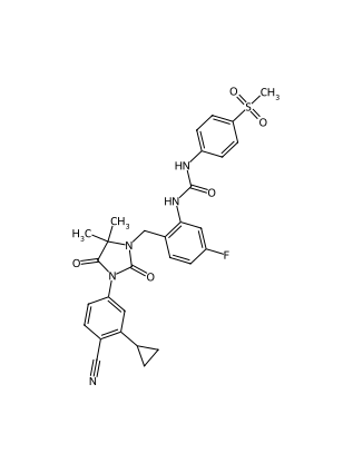 CC1(C)C(=O)N(c2ccc(C#N)c(C3CC3)c2)C(=O)N1Cc1ccc(F)cc1NC(=O)Nc1ccc(S(C)(=O)=O)cc1